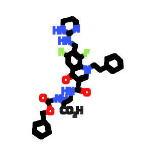 O=C(NC(CNC(=O)c1cn(CCc2ccccc2)c2c(F)c(CNC3N=CCCN3)c(F)cc2c1=O)C(=O)O)OCc1ccccc1